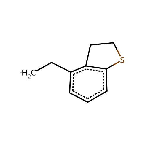 [CH2]Cc1cccc2c1CCS2